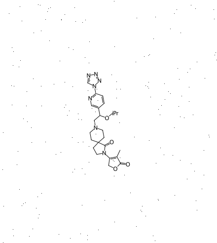 CC1=C(N2CCC3(CCN(CC(OC(C)C)c4ccc(-n5cnnn5)nc4)CC3)C2=O)COC1=O